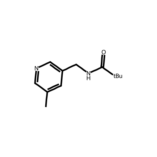 Cc1cncc(CNC(=O)C(C)(C)C)c1